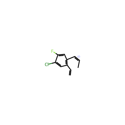 C=Cc1cc(Cl)c(F)cc1/C=C\C